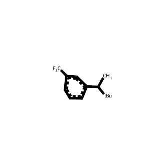 CC(c1cccc(C(F)(F)F)c1)C(C)(C)C